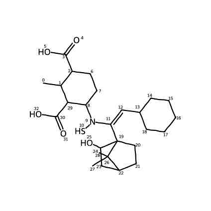 CC1C(C(=O)O)CCC(N(S)C(=CC2CCCCC2)C23CCC(CC2O)C3(C)C)C1C(=O)O